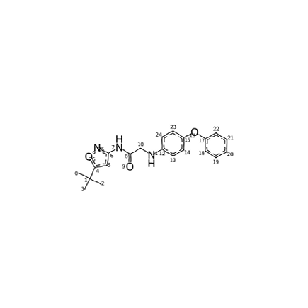 CC(C)(C)c1cc(NC(=O)CNc2ccc(Oc3ccccc3)cc2)no1